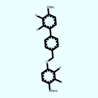 CCCCCc1ccc(OCc2ccc(-c3ccc(OC)c(F)c3F)cc2)c(F)c1F